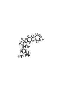 N=Cc1ncc(N2C(=O)C3(CCC3)N(c3ccc(OC4CCCNCC4)cc3)C2=S)cc1C(F)(F)F